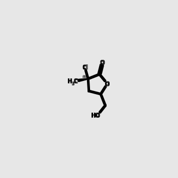 C[C@]1(Cl)CC(CO)OC1=O